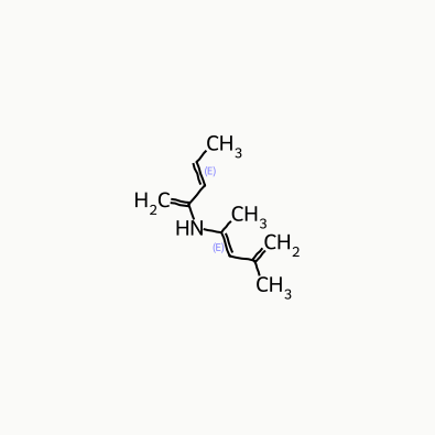 C=C(C)/C=C(\C)NC(=C)/C=C/C